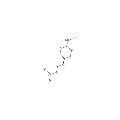 CCN(CC)CCO[C@H]1CC[C@H](NI)CC1